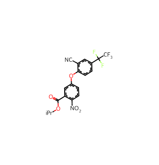 CC(C)OC(=O)c1cc(Oc2ccc(C(F)(F)C(F)(F)F)cc2C#N)ccc1[N+](=O)[O-]